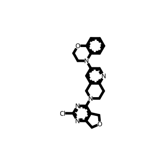 Clc1nc2c(c(N3CCc4ncc(N5CCOc6ccccc65)cc4C3)n1)COC2